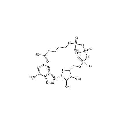 Nc1ncnc2c1ncn2[C@@H]1O[C@H](COP(=O)(O)OP(=O)(O)OP(=O)(O)OCCCCC(=O)O)[C@@H](O)[C@H]1O